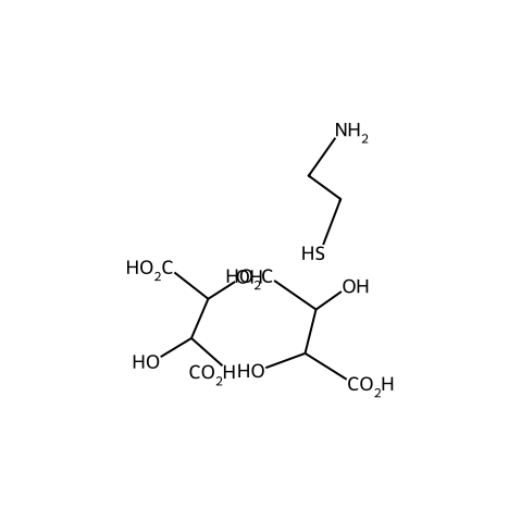 NCCS.O=C(O)C(O)C(O)C(=O)O.O=C(O)C(O)C(O)C(=O)O